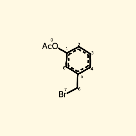 CC(=O)Oc1cccc(CBr)c1